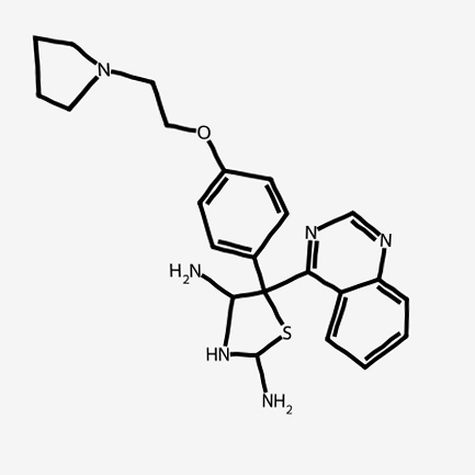 NC1NC(N)C(c2ccc(OCCN3CCCC3)cc2)(c2ncnc3ccccc23)S1